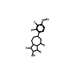 CCCC1C(F)C2CCC(c3ccc(OCC)c(F)c3F)CC(F)C2C1F